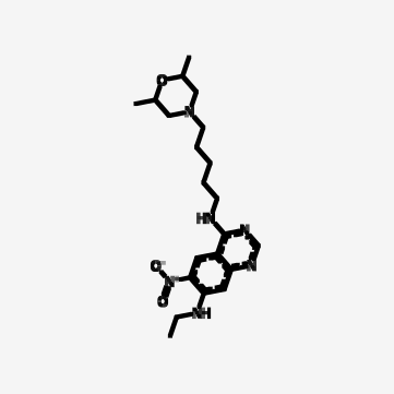 CCNc1cc2ncnc(NCCCCCN3CC(C)OC(C)C3)c2cc1[N+](=O)[O-]